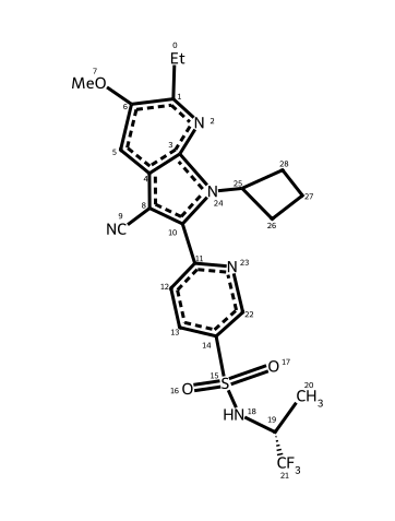 CCc1nc2c(cc1OC)c(C#N)c(-c1ccc(S(=O)(=O)N[C@H](C)C(F)(F)F)cn1)n2C1CCC1